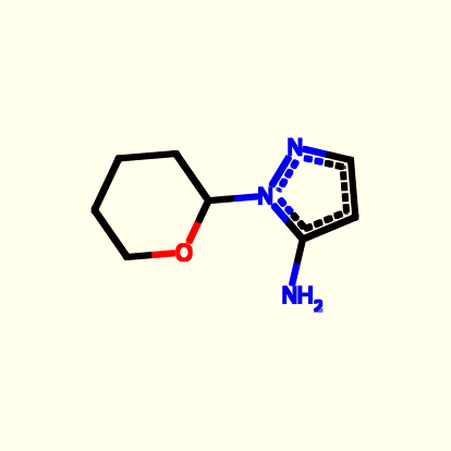 Nc1ccnn1C1CCCCO1